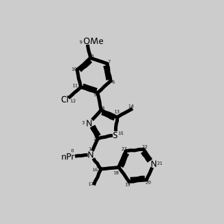 CCCN(c1nc(-c2ccc(OC)cc2Cl)c(C)s1)C(C)c1ccncc1